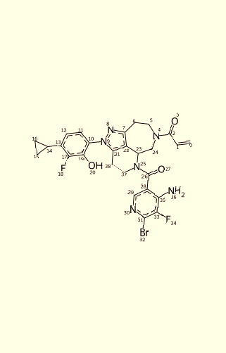 C=CC(=O)N1CCc2nn(-c3ccc(C4CC4)c(F)c3O)c3c2C(C1)N(C(=O)c1cnc(Br)c(F)c1N)CC3